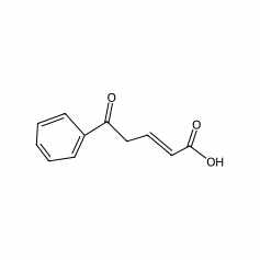 O=C(O)C=CCC(=O)c1ccccc1